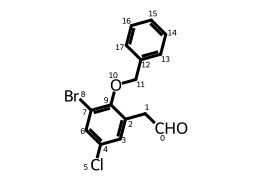 O=CCc1cc(Cl)cc(Br)c1OCc1ccccc1